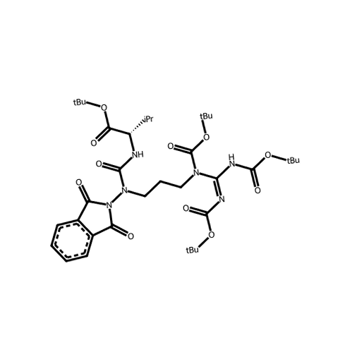 CC(C)[C@H](NC(=O)N(CCCN(C(=O)OC(C)(C)C)/C(=N\C(=O)OC(C)(C)C)NC(=O)OC(C)(C)C)N1C(=O)c2ccccc2C1=O)C(=O)OC(C)(C)C